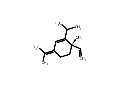 C=C[C@]1(C)CCC(=C(C)C)C=C1C(C)C